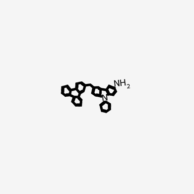 Nc1ccc2c(c1)c1cc(Cc3ccc4c5ccccc5c5ccccc5c4c3)ccc1n2-c1ccccc1